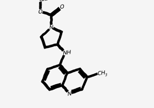 Cc1cnc2cccc(NC3CCN(C(=O)OC(C)(C)C)C3)c2c1